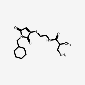 CC(CN)C(=O)NCCSC1=CC(=O)N(CC2CCCCC2)C1=O